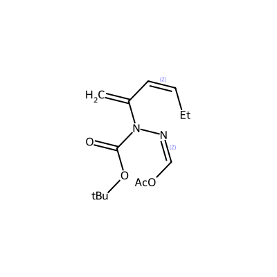 C=C(/C=C\CC)N(/N=C\OC(C)=O)C(=O)OC(C)(C)C